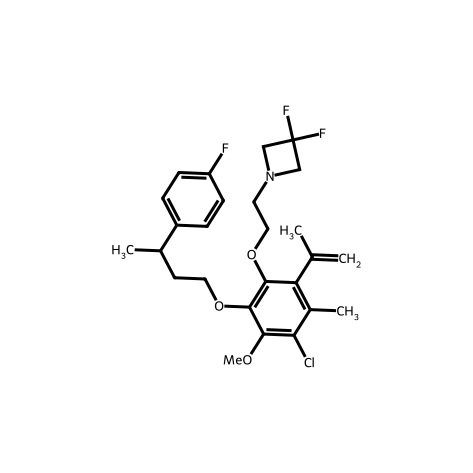 C=C(C)c1c(C)c(Cl)c(OC)c(OCCC(C)c2ccc(F)cc2)c1OCCN1CC(F)(F)C1